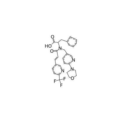 O=C(O)C(Cc1ccccc1)N(Cc1ccc(N2CCOCC2)nc1)C(=O)C=Cc1ccc(C(F)(F)F)nc1